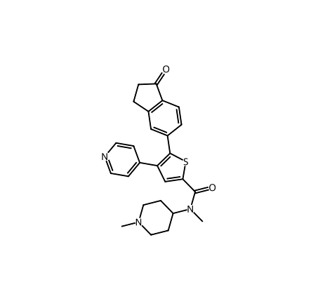 CN1CCC(N(C)C(=O)c2cc(-c3ccncc3)c(-c3ccc4c(c3)CCC4=O)s2)CC1